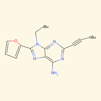 CCCCC#Cc1nc(N)c2nc(-c3ccco3)n(CC(C)CC)c2n1